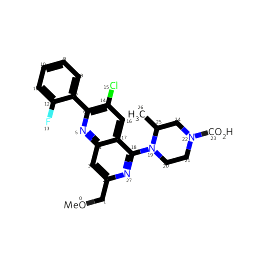 COCc1cc2nc(-c3ccccc3F)c(Cl)cc2c(N2CCN(C(=O)O)CC2C)n1